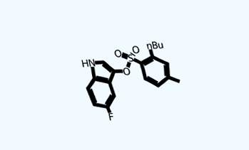 CCCCc1cc(C)ccc1S(=O)(=O)Oc1c[nH]c2ccc(F)cc12